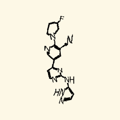 N#Cc1cc(-c2ccnc(Nc3ccn[nH]3)n2)cnc1N1CCC(F)C1